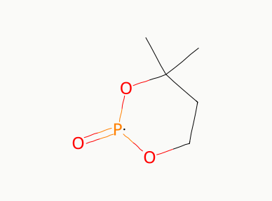 CC1(C)CCO[P](=O)O1